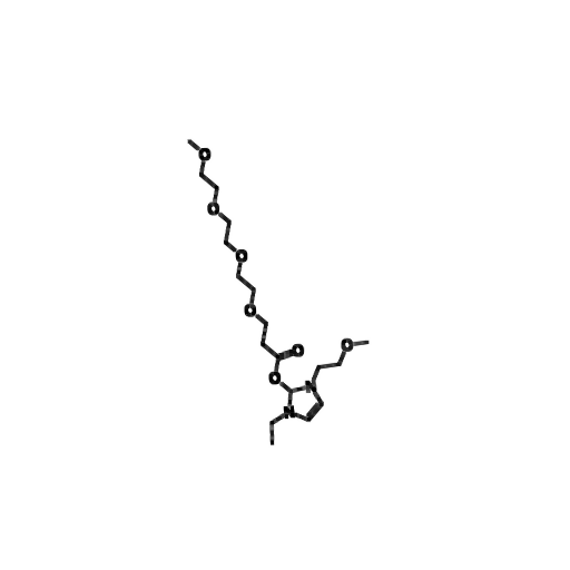 CCN1C=CN(CCOC)C1OC(=O)CCOCCOCCOCCOC